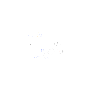 COc1cc2ncc(C#N)c(N3CC(C)(CCN(C4CC4)S(N)(=O)=O)C3)c2cc1OC